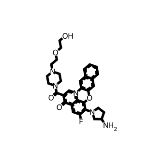 NC1CCN(c2c(F)cc3c(=O)c(C(=O)N4CCN(CCOCCO)CC4)cn4c3c2Oc2cc3ccccc3cc2-4)C1